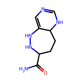 NC(=O)C1CCC2NC=NC=C2NN1